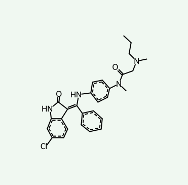 CCCN(C)CC(=O)N(C)c1ccc(N/C(=C2\C(=O)Nc3cc(Cl)ccc32)c2ccccc2)cc1